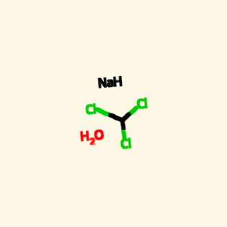 ClC(Cl)Cl.O.[NaH]